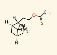 CC(=S)OCC[C@@H]1CC[C@H]2C[C@@H]1C2(C)C